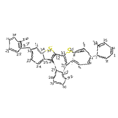 c1ccc(-c2ccc3c(c2)sc2c4sc5cc(-c6ccccc6)ccc5c4c4ccccc4c32)cc1